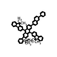 CC1(C)c2ccccc2-c2ccc(-c3c4ccc(-c5ccc6cc(-c7ccccc7)ccc6c5)cc4c(-c4ccc5c(c4)C(C)(C)c4ccccc4-5)c4cc5c(cc34)-c3ccccc3[Si]5(C)C)cc21